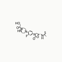 CC(=S)NC[C@H]1CN(c2ccc(N3CCNN(C(=O)CO)CC3)c(F)c2)C(=O)O1